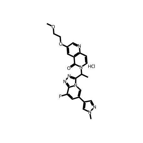 COCCOc1cnc2ccn(C(C)c3nnc4c(F)cc(-c5cnn(C)c5)cn34)c(=O)c2c1.Cl